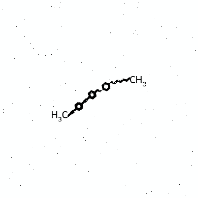 CCC#Cc1ccc(C#Cc2ccc(CC[C@H]3CC[C@H](CCCCCCCC)CC3)cc2)cc1